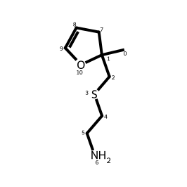 CC1(CSCCN)CC=CO1